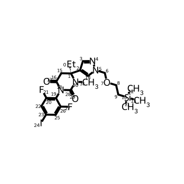 CC[C@@]1(c2cnn(COCC[Si](C)(C)C)c2)CC(=O)N(c2c(F)cc(I)cc2F)C(=O)N1C